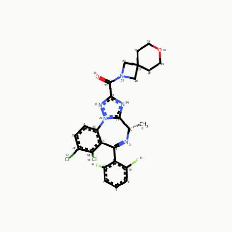 C[C@@H]1N=C(c2c(F)cccc2F)c2c(ccc(Cl)c2Cl)-n2nc(C(=O)N3CC4(CCOCC4)C3)nc21